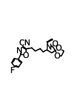 N#Cc1nc(-c2ccc(F)cc2)oc1CCCCCCC1(c2ncco2)OCCO1